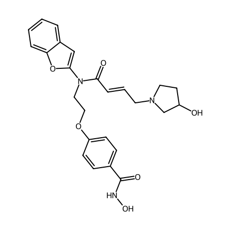 O=C(NO)c1ccc(OCCN(C(=O)/C=C/CN2CCC(O)C2)c2cc3ccccc3o2)cc1